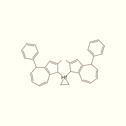 CC1=CC2=C(C=CC=CC2c2ccccc2)[CH]1[Hf]1([CH]2C(C)=CC3=C2C=CC=CC3c2ccccc2)[CH2][CH2]1